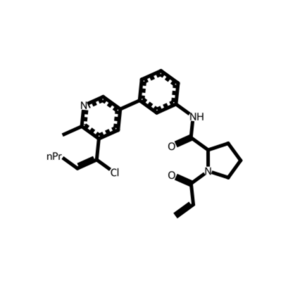 C=CC(=O)N1CCCC1C(=O)Nc1cccc(-c2cnc(C)c(/C(Cl)=C\CCC)c2)c1